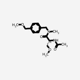 COCc1ccc(CN(C)C(=O)[C@@H](COC)NC(C)=O)cc1